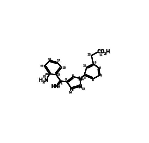 N=C(c1cn(-c2cccc(CC(=O)O)c2)nn1)c1ccccc1N